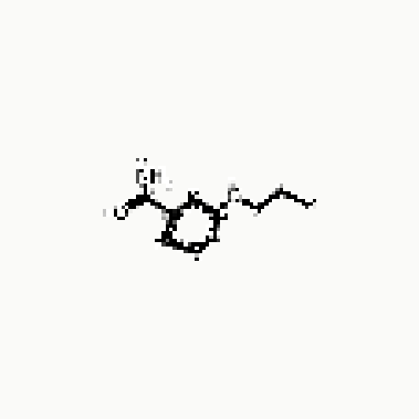 CCCOc1cccc(C(N)=O)c1